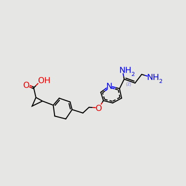 NC/C=C(\N)c1ccc(OCCC2=CC=C(C3CC3C(=O)O)CC2)cn1